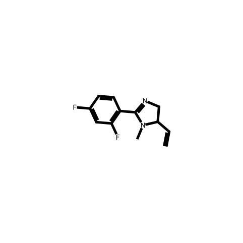 C=CC1CN=C(c2ccc(F)cc2F)N1C